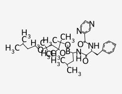 CC(C)CCOC(C)(C)CC1(C)OB(C(CC(C)C)NC(=O)[C@H](Cc2ccccc2)NC(=O)c2cnccn2)OC1(C)C